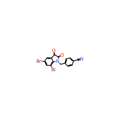 N#Cc1ccc(CN2C(=O)C(=O)c3cc(Br)cc(Br)c32)cc1